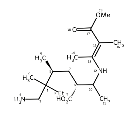 CCC(C)(CN)[C@@H](C)C[C@@H](C(=O)O)C(C)N/C(C)=C(\C)C(=O)OC